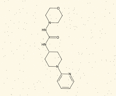 O=C(NC1CCN(c2cc[c]cn2)CC1)NN1CCOCC1